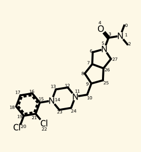 CN(C)C(=O)N1CC2CC(CN3CCN(c4cccc(Cl)c4Cl)CC3)CC2C1